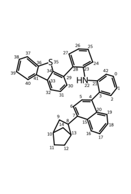 c1ccc(-c2ccc(C3CC4CCC3C4)c3ccccc23)c(Nc2ccccc2-c2cccc3c2sc2ccccc23)c1